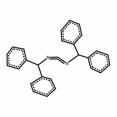 C(=NC(c1ccccc1)c1ccccc1)=NC(c1ccccc1)c1ccccc1